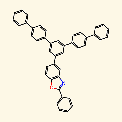 c1ccc(-c2ccc(-c3cc(-c4ccc(-c5ccccc5)cc4)cc(-c4ccc5oc(-c6ccccc6)nc5c4)c3)cc2)cc1